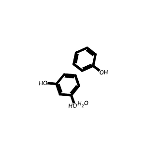 O.Oc1cccc(O)c1.Oc1ccccc1